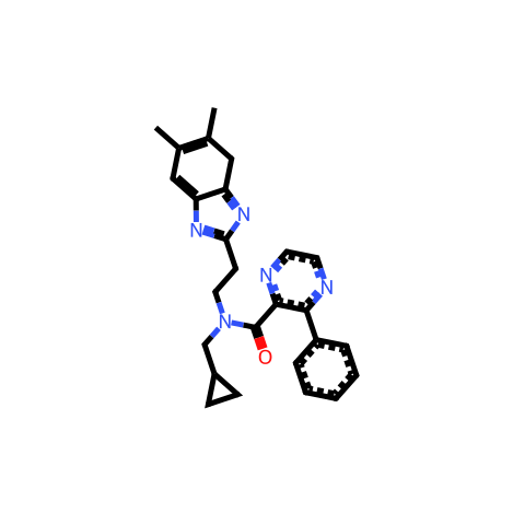 CC1=C(C)CC2=NC(CCN(CC3CC3)C(=O)c3nccnc3-c3ccccc3)=NC2=C1